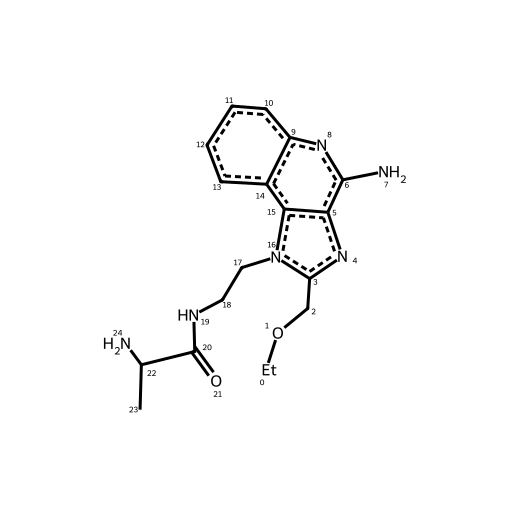 CCOCc1nc2c(N)nc3ccccc3c2n1CCNC(=O)C(C)N